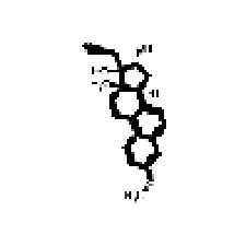 COc1ccc2c3c(ccc2c1)[C@@H]1C[C@@H](O)[C@@](O)(CC#N)[C@@]1(C)CC3